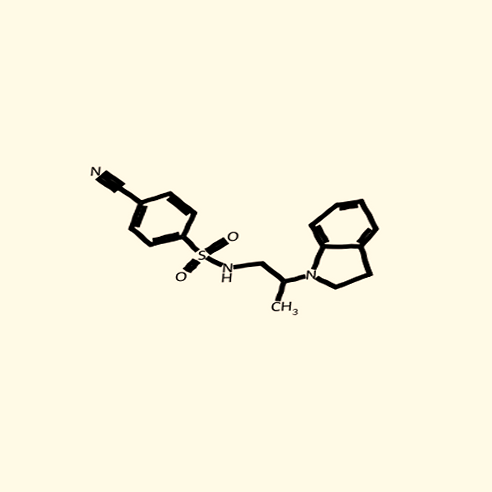 CC(CNS(=O)(=O)c1ccc(C#N)cc1)N1CCc2ccccc21